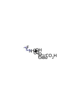 C\C=C(F)/C=C\C=N\CCOP(=O)(O)OCC(COCC(C)C)OCCCCC(=O)O